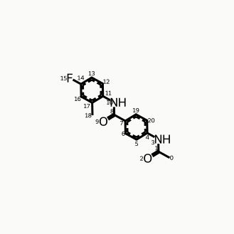 CC(=O)Nc1ccc(C(=O)Nc2ccc(F)cc2C)cc1